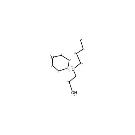 C1COCCO1.CCCCOCCO